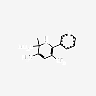 CC1(C(=O)O)NC(c2cccnc2)=C(C(F)(F)F)C=C1N